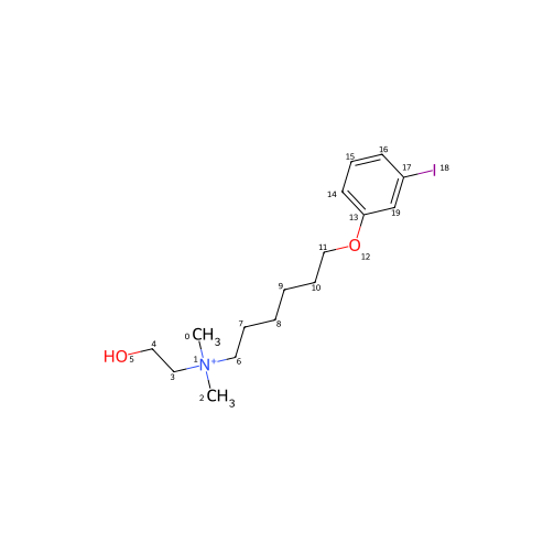 C[N+](C)(CCO)CCCCCCOc1cccc(I)c1